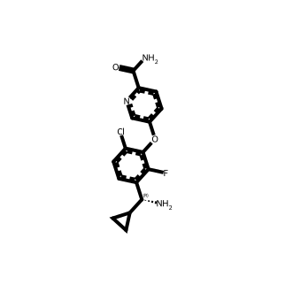 NC(=O)c1ccc(Oc2c(Cl)ccc([C@H](N)C3CC3)c2F)cn1